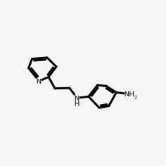 Nc1ccc(NCCc2ccccn2)cc1